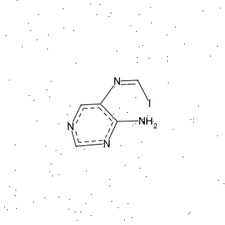 Nc1ncncc1/N=C\I